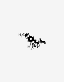 CC(=O)NC(Cc1ccc(OC(C)=O)cc1)C(=O)N1CC1C#N